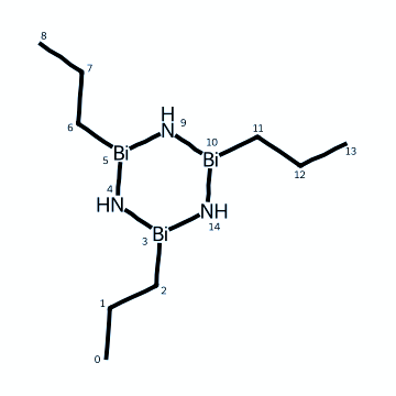 CC[CH2][Bi]1[NH][Bi]([CH2]CC)[NH][Bi]([CH2]CC)[NH]1